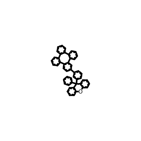 c1ccc(C2(c3cccc(-c4ccc5c(c4)-c4ccccc4-c4ccccc4-c4ccccc4-5)c3)c3ccccc3Oc3ccccc32)cc1